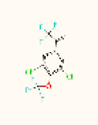 C=C(c1cc(Cl)c(OC(F)(F)F)c(Cl)c1)C(F)(F)F